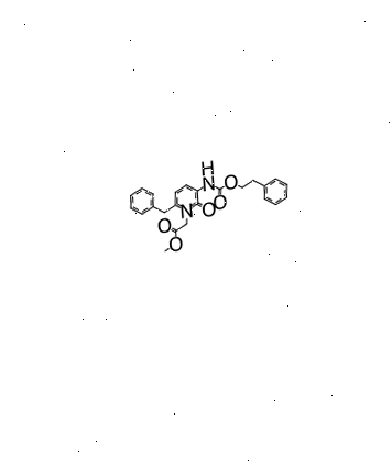 COC(=O)Cn1c(Cc2ccccc2)ccc(NC(=O)OCCc2ccccc2)c1=O